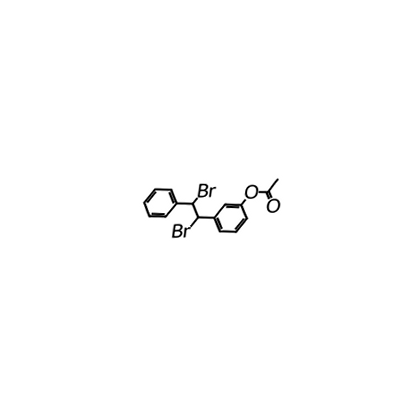 CC(=O)Oc1cccc(C(Br)C(Br)c2ccccc2)c1